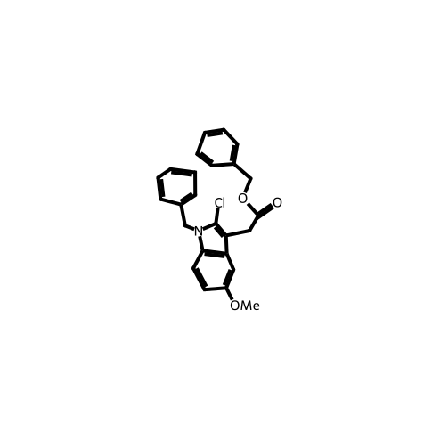 COc1ccc2c(c1)c(CC(=O)OCc1ccccc1)c(Cl)n2Cc1ccccc1